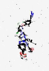 COC(=O)c1ccc2nc([C@H](C)N3CCN(c4nc(OCc5ccc(C#N)cc5F)c(F)cc4F)CC3)n(CC3CCO3)c2c1